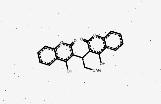 COCC(c1c(O)c2ccccc2oc1=O)c1c(O)c2ccccc2oc1=O